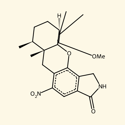 COC1CC(C)(C)[C@@H]2CC[C@H](C)[C@@]3(C)Cc4c([N+](=O)[O-])cc5c(c4O[C@@]23C1)CNC5=O